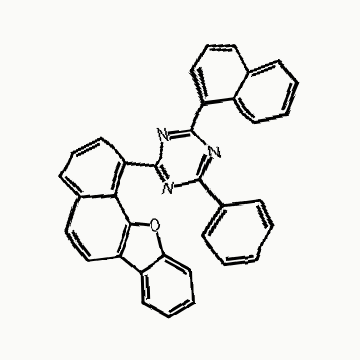 c1ccc(-c2nc(-c3cccc4ccccc34)nc(-c3cccc4ccc5c6ccccc6oc5c34)n2)cc1